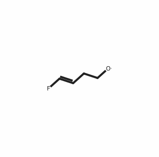 [O]CC/C=C/F